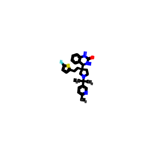 Cc1ccc(C(C)(C)N2CC[C@@](CCc3ccc(F)s3)([C@@H]3NC(=O)Nc4ccccc43)C2)cn1